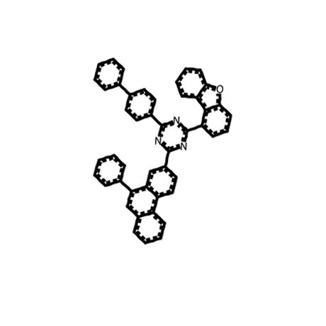 c1ccc(-c2ccc(-c3nc(-c4ccc5c(c4)c(-c4ccccc4)cc4ccccc45)nc(-c4cccc5oc6ccccc6c45)n3)cc2)cc1